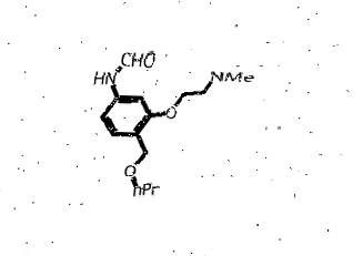 CCCOCc1ccc(NC=O)cc1OCCNC